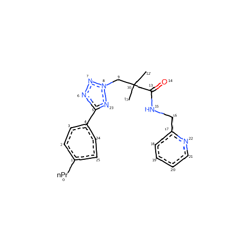 CCCc1ccc(-c2nnn(CC(C)(C)C(=O)NCc3ccccn3)n2)cc1